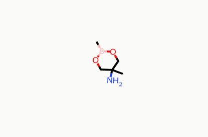 CB1OCC(C)(N)CO1